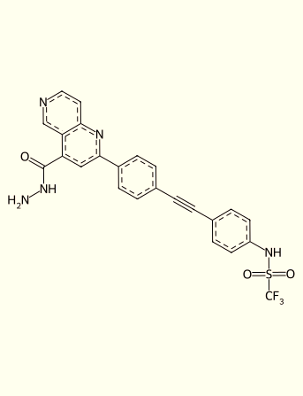 NNC(=O)c1cc(-c2ccc(C#Cc3ccc(NS(=O)(=O)C(F)(F)F)cc3)cc2)nc2ccncc12